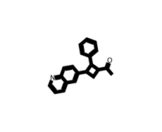 CC(=O)C1CC(c2ccc3ncccc3c2)C1c1ccccc1